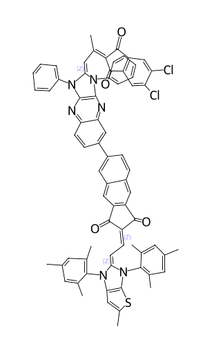 CC(/C=C1/N(c2ccccc2)c2nc3ccc(-c4ccc5cc6c(cc5c4)C(=O)/C(=C\C=C4\N(c5c(C)cc(C)cc5C)c5cc(C)sc5N4c4c(C)cc(C)cc4C)C6=O)cc3nc2N1c1ccccc1)=C1C(=O)c2cc(Cl)c(Cl)cc2C1=O